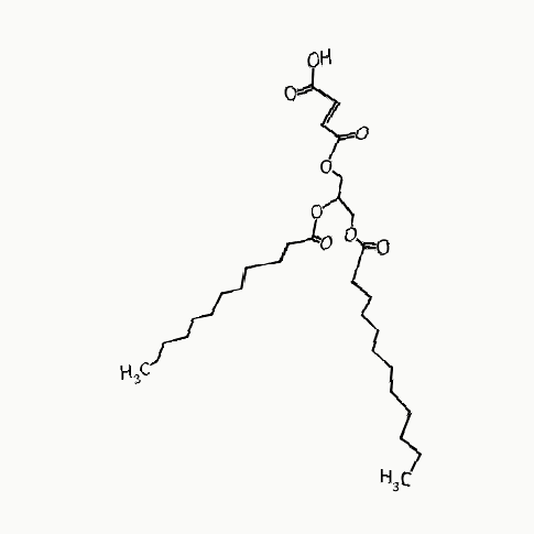 CCCCCCCCCCCC(=O)OCC(COC(=O)/C=C/C(=O)O)OC(=O)CCCCCCCCCCC